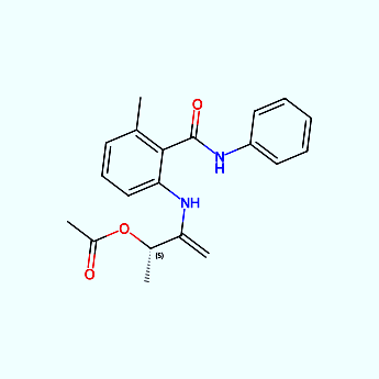 C=C(Nc1cccc(C)c1C(=O)Nc1ccccc1)[C@H](C)OC(C)=O